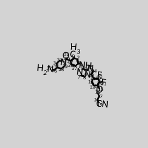 Cc1cc(Nc2nccn3c(-c4ccc(OCCCC#N)c(F)c4F)cnc23)ccc1C(=O)N1CCC(CN)CC1